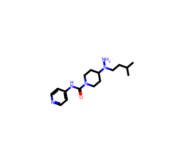 CC(C)CCN(N)C1CCN(C(=O)Nc2ccncc2)CC1